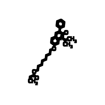 C=CC(=O)OCCCCCCCCOc1ccc2cc(-c3ccccc3)c(=O)n(C(C)C)c2c1